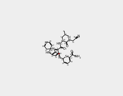 CC(C)C[C@H](NC(=O)C1=S2C(N=NC3C=CC=C(C(N)=O)S3)=C(C=C1)NC21C=CN=CC1)C(=O)NCC#N